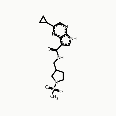 CS(=O)(=O)N1CCC(CNC(=O)c2c[nH]c3ncc(C4CC4)nc23)C1